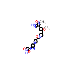 Cn1cc(-c2ccc(CC3CCN(CC(=O)C4CCN(c5ccc(NC6CCC(=O)NC6=O)cc5)CC4)CC3)c(OC(F)(F)F)c2)c2cn[nH]c2c1=O